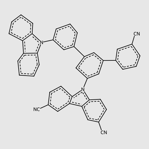 N#Cc1cccc(-c2cc(-c3cccc(-n4c5ccccc5c5ccccc54)c3)cc(-n3c4ccc(C#N)cc4c4cc(C#N)ccc43)c2)c1